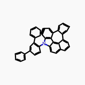 c1cc2c3c4c5c(cccc5ccc4n(-c4ccc(-c5ccccc5)cc4C4=CC=CCC4)c3c#1)-c1ccccc1-2